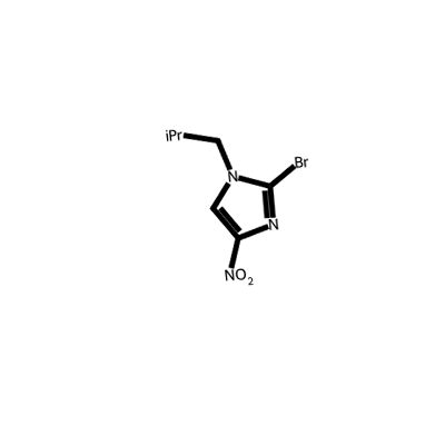 CC(C)Cn1cc([N+](=O)[O-])nc1Br